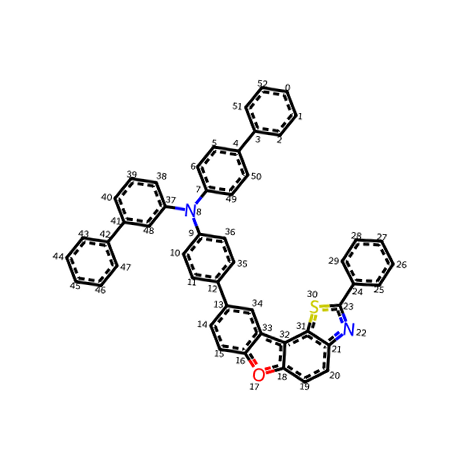 c1ccc(-c2ccc(N(c3ccc(-c4ccc5oc6ccc7nc(-c8ccccc8)sc7c6c5c4)cc3)c3cccc(-c4ccccc4)c3)cc2)cc1